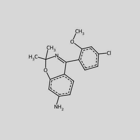 COc1cc(Cl)ccc1C1=NC(C)(C)Oc2cc(N)ccc21